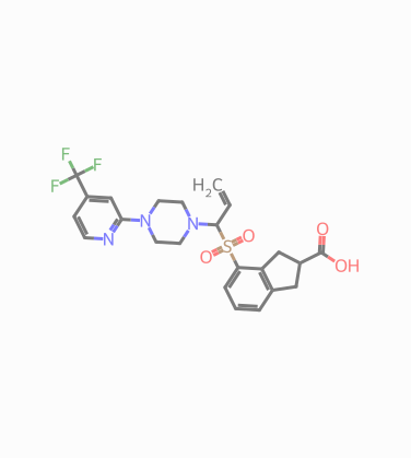 C=CC(N1CCN(c2cc(C(F)(F)F)ccn2)CC1)S(=O)(=O)c1cccc2c1CC(C(=O)O)C2